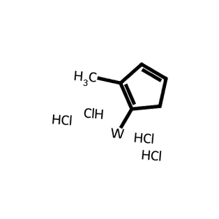 CC1=[C]([W])CC=C1.Cl.Cl.Cl.Cl